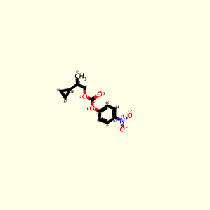 CC(COC(=O)Oc1ccc([N+](=O)[O-])cc1)C1CC1